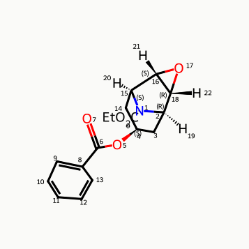 CCOC(=O)N1[C@@H]2C[C@@H](OC(=O)c3ccccc3)C[C@H]1[C@@H]1O[C@@H]12